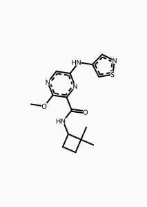 COc1ncc(Nc2cnsc2)nc1C(=O)NC1CCC1(C)C